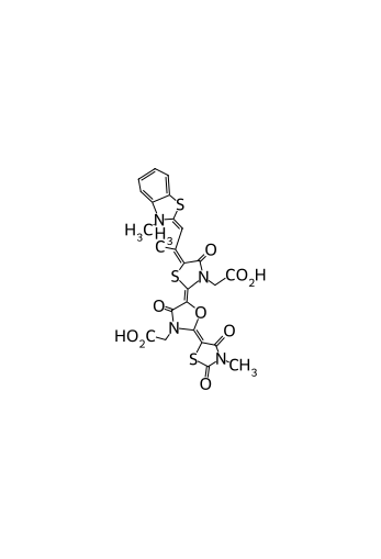 C/C(C=C1Sc2ccccc2N1C)=c1\s/c(=c2/o/c(=C3/SC(=O)N(C)C3=O)n(CC(=O)O)c2=O)n(CC(=O)O)c1=O